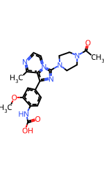 COc1cc(-c2nc(N3CCN(C(C)=O)CC3)n3ccnc(C)c23)ccc1NC(=O)O